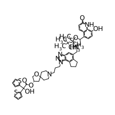 CC(C)(C)[Si](C)(C)OC(CNCc1cc2nnn(CCCN3CCC4(CC3)C[C@H](OC(=O)C(O)(c3cccs3)c3cccs3)CO4)c2c2c1CCC2)c1ccc(O)c2[nH]c(=O)ccc12